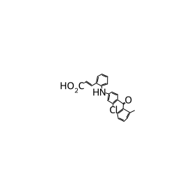 Cc1ccccc1C(=O)c1ccc(Nc2ccccc2/C=C/C(=O)O)cc1Cl